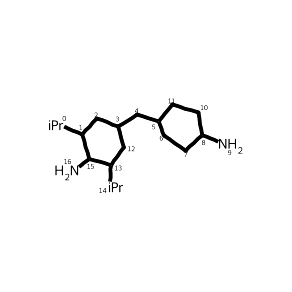 CC(C)C1CC(CC2CCC(N)CC2)CC(C(C)C)C1N